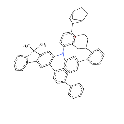 CC1(C)c2ccccc2-c2cc(-c3ccc(-c4ccccc4)cc3)c(N(c3ccc(C4CC5CCC4C5)cc3)c3cccc(-c4ccccc4C4CCCCC4)c3)cc21